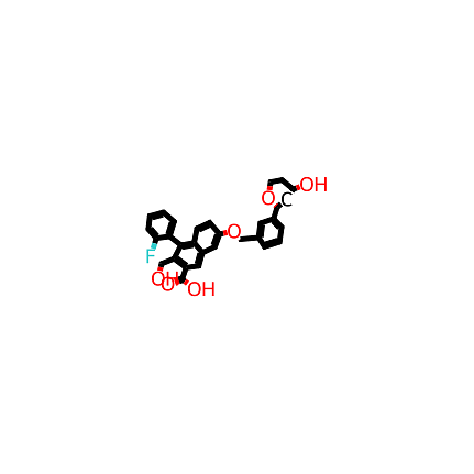 O=C(O)c1cc2cc(OCc3cccc(C4CC(O)CCO4)c3)ccc2c(-c2ccccc2F)c1CO